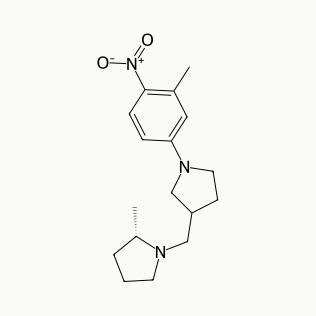 Cc1cc(N2CCC(CN3CCC[C@@H]3C)C2)ccc1[N+](=O)[O-]